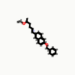 CCCOC(C)CC/C=C/c1ccc2cc(OCc3ccccc3)ccc2c1